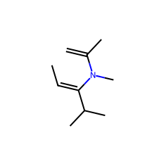 C=C(C)N(C)/C(=C\C)C(C)C